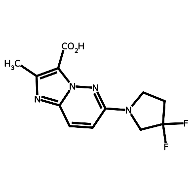 Cc1nc2ccc(N3CCC(F)(F)C3)nn2c1C(=O)O